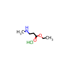 CCOC(=O)CCNC.Cl